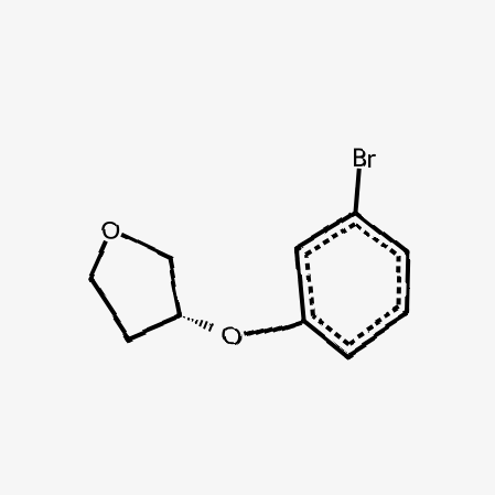 Brc1cccc(O[C@@H]2CCOC2)c1